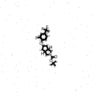 CC(C)(C)OC(=O)N1C[C@H]2CC(Oc3ccc(C(F)(F)F)cc3F)C[C@H]2C1